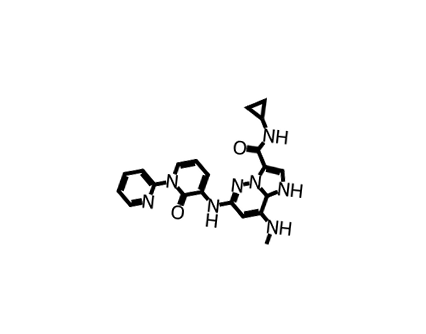 CNC1=CC(Nc2cccn(-c3ccccn3)c2=O)=NN2C(C(=O)NC3CC3)=CNC12